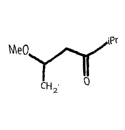 [CH2]C(CC(=O)C(C)C)OC